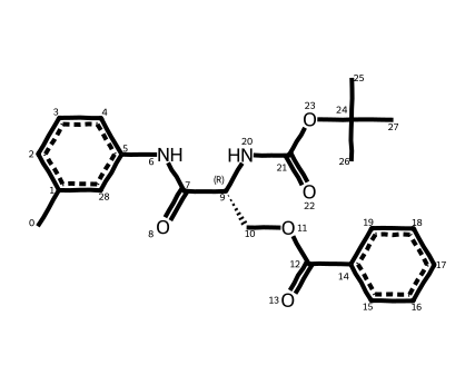 Cc1cccc(NC(=O)[C@@H](COC(=O)c2ccccc2)NC(=O)OC(C)(C)C)c1